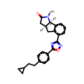 CCCN1C(=O)C[C@@H]2Cc3c(-c4noc(-c5ccc(CCC6CC6)cc5)n4)cccc3[C@@H]21